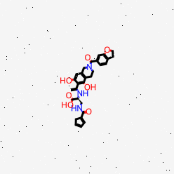 C=C(N[C@@H](CNC(=O)C1=CC=CC1)C(=O)O)c1c(O)cc2c(c1O)CCN(C(=O)c1ccc3c(c1)OCC3)C2